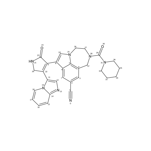 N#Cc1cc2c3c(c1)c(C1=C(c4cnc5ccccn45)CNC1=O)cn3CCN(C(=O)N1CCCCC1)C2